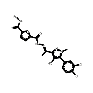 C/C(=N\NC(=O)c1ccc(C(=O)NC(C)C)s1)c1nn(C)c(-c2ccc(Cl)c(Cl)c2)c1O